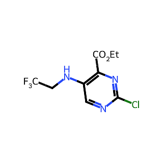 CCOC(=O)c1nc(Cl)ncc1NCC(F)(F)F